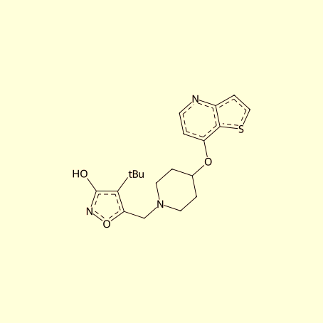 CC(C)(C)c1c(O)noc1CN1CCC(Oc2ccnc3ccsc23)CC1